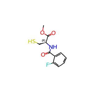 COC(=O)[C@H](CS)NC(=O)c1ccccc1F